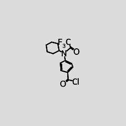 O=C(Cl)c1ccc(N(C(=O)C(F)(F)F)C2CCCCC2)cc1